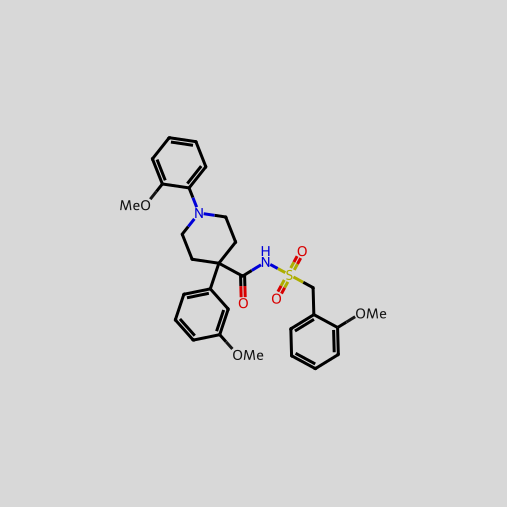 COc1cccc(C2(C(=O)NS(=O)(=O)Cc3ccccc3OC)CCN(c3ccccc3OC)CC2)c1